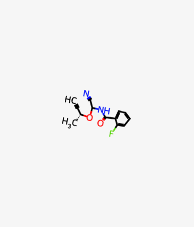 C#C[C@@H](C)OC(C#N)NC(=O)c1ccccc1F